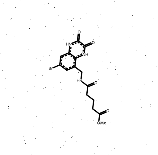 COC(=O)CCCC(=O)NCc1cc(Br)cc2[nH]c(=O)c(=O)[nH]c12